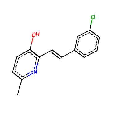 Cc1ccc(O)c(C=Cc2cccc(Cl)c2)n1